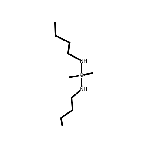 CCCCN[Si](C)(C)NCCCC